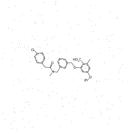 Cc1cc(OC(C)C)cc(OCc2cccc(CN(C)C(=O)Cc3ccc(Cl)cc3)c2)c1C(=O)O